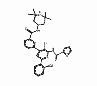 CC1(C)CC(NC(=O)c2cccc(-c3cc(-c4ccccc4O)nc(NC(=O)c4ccco4)c3C#N)c2)CC(C)(C)N1